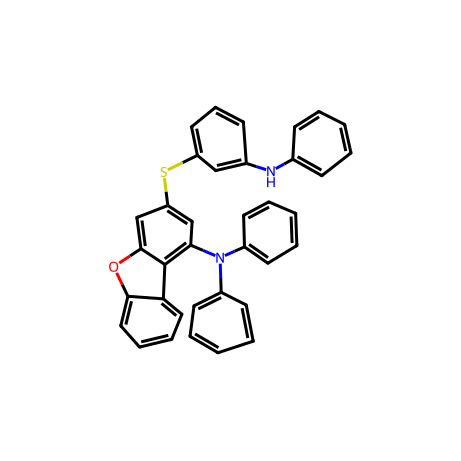 c1ccc(Nc2cccc(Sc3cc(N(c4ccccc4)c4ccccc4)c4c(c3)oc3ccccc34)c2)cc1